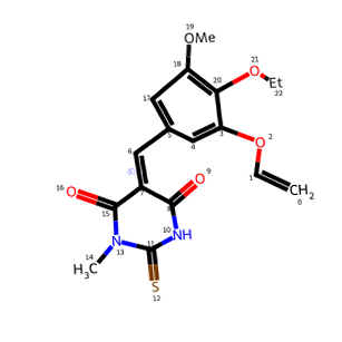 C=COc1cc(/C=C2\C(=O)NC(=S)N(C)C2=O)cc(OC)c1OCC